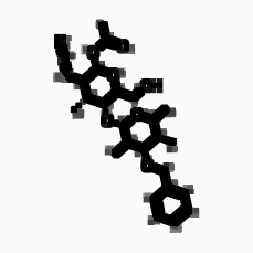 CC(=O)O[C@H]1OC(CO)[C@H](O[C@@H]2OC(C)[C@@H](C)[C@@H](OCc3ccccc3)C2C)[C@H](C)C1N=[N+]=[N-]